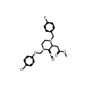 COC(=O)CC1C(=C=O)N(COc2ccc(Cl)cc2)CCN1Cc1ccc(F)cc1